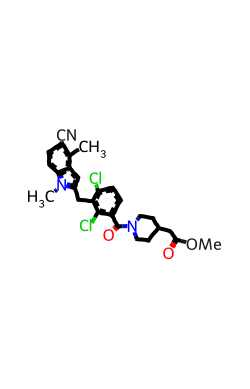 COC(=O)CC1CCN(C(=O)c2ccc(Cl)c(Cc3cc4c(C)c(C#N)ccc4n3C)c2Cl)CC1